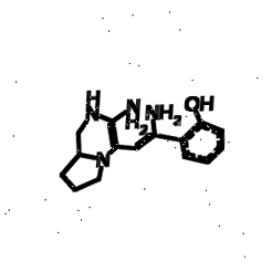 NC1=C(/C=C(\N)c2ccccc2O)N2CCCC2CN1